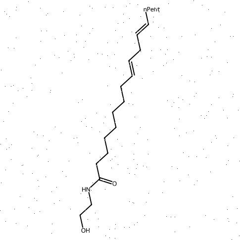 CCCCCC=CCC=CCCCCCCCC(=O)NCCO